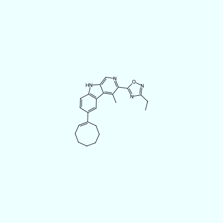 CCc1noc(-c2ncc3[nH]c4ccc(/C5=C/CCCCCC5)cc4c3c2C)n1